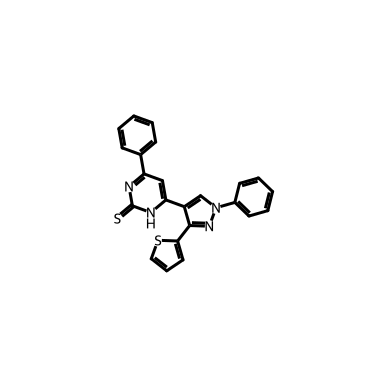 S=c1nc(-c2ccccc2)cc(-c2cn(-c3ccccc3)nc2-c2cccs2)[nH]1